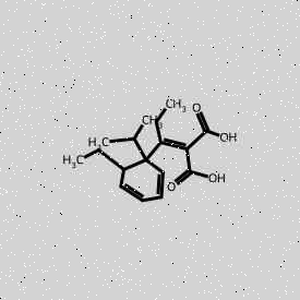 CCC(=C(C(=O)O)C(=O)O)C1(C(C)C)C=CC=CC1CC